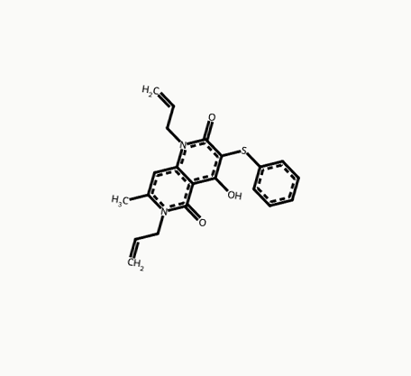 C=CCn1c(C)cc2c(c(O)c(Sc3ccccc3)c(=O)n2CC=C)c1=O